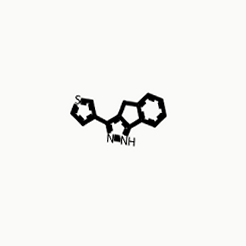 c1ccc2c(c1)Cc1c(-c3ccsc3)n[nH]c1-2